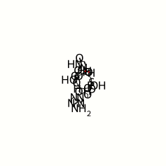 CO[C@@H]1[C@@H]2OP(=O)(O)SC[C@H]3O[C@@H](n4ccc(=O)[nH]c4=O)[C@H](OP(=O)(O)OC[C@H]2O[C@H]1n1cnc2c(N)ncnc21)[C@@H]3F